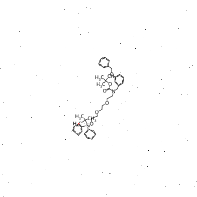 CC(C)(C)OC(=O)N(CCOCCOCCO[Si](c1ccccc1)(c1ccccc1)C(C)(C)C)Cc1cccc(OCc2ccccc2)c1